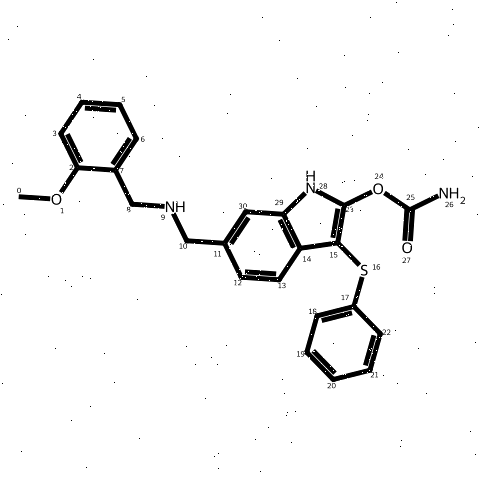 COc1ccccc1CNCc1ccc2c(Sc3ccccc3)c(OC(N)=O)[nH]c2c1